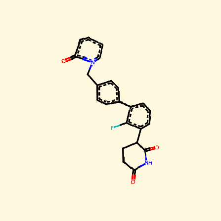 O=C1CCC(c2cccc(-c3ccc(Cn4ccccc4=O)cc3)c2F)C(=O)N1